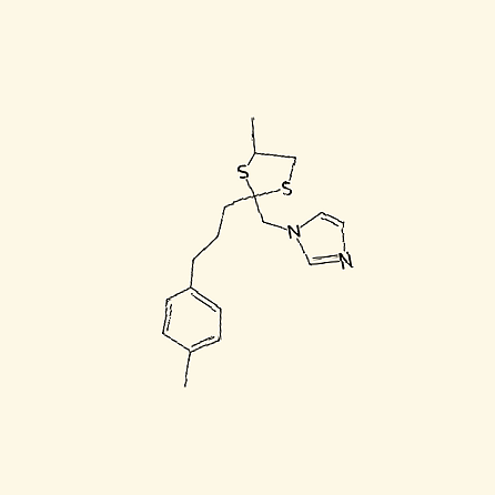 Cc1ccc(CCCC2(Cn3ccnc3)SCC(C)S2)cc1